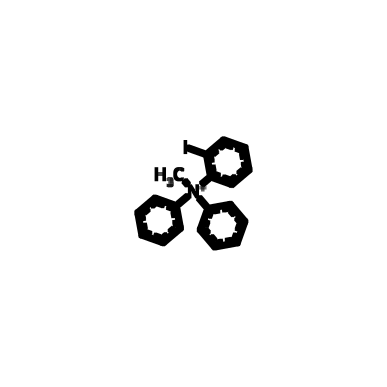 C[N+](c1ccccc1)(c1ccccc1)c1ccccc1I